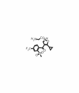 CS(=O)(=O)c1cc(C(F)(F)F)ccc1C(=O)c1cnoc1C1CC1.NCC(=O)O